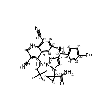 CC(C)(C)CNc1c(C#N)cnc2c(C#N)cc(N[C@@H](c3ccc(F)cc3)c3cn(C4(C(N)=O)CC4)nn3)cc12